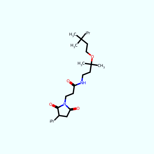 CC(C)C1CC(=O)N(CCC(=O)NCCC(C)(C)OCCC(C)(C)C(C)C)C1=O